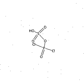 O=P(Cl)(Cl)OS(=O)(=O)O